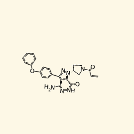 C=CC(=O)N1CC[C@@H](n2nc(-c3ccc(Oc4ccccc4)cc3)c3c(N)n[nH]c(=O)c32)C1